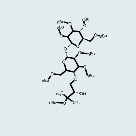 CCCCOCC1O[C@H](O[C@H]2O[C@H](COCCCC)[C@@H](OCCCC)C(OCCCC)C2OCCCC)[C@@H](OCCCC)C(OCCCC)[C@@H]1OC[C@H](O)C(C)(C)OCCCC